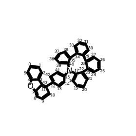 c1ccc2c(c1)oc1cccc(-c3ccc(-n4c5ccccc5c5ccccc5c5ccccc5c5ccccc54)cc3)c12